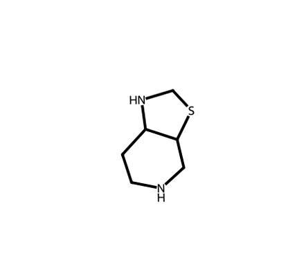 C1CC2NCSC2CN1